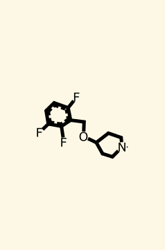 Fc1ccc(F)c(COC2CC[N]CC2)c1F